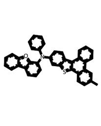 Cc1ccc2c(c1)c1ccccc1c1c3ccc(N(c4ccccc4)c4cccc5c4oc4ccccc45)cc3sc21